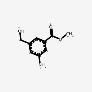 COC(=O)c1cc(N)cc(CO)c1